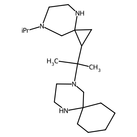 CC(C)N1CCNC2(CC2C(C)(C)N2CCNC3(CCCCC3)C2)C1